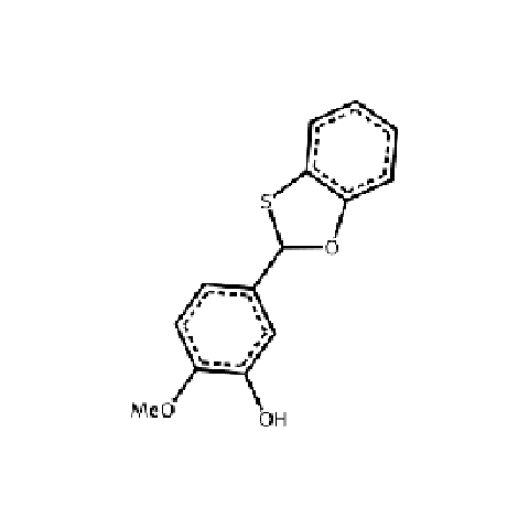 COc1ccc(C2Oc3ccccc3S2)cc1O